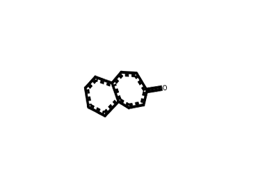 O=c1ccc2ccccc2cc1